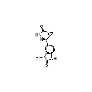 CCC1C(=O)Nc2ccc(C3=NNC(=O)C4CC34)cc21